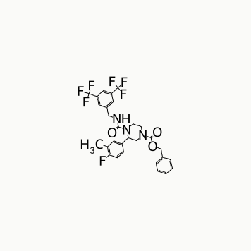 Cc1cc(C2CN(C(=O)OCc3ccccc3)CCN2C(=O)NCc2cc(C(F)(F)F)cc(C(F)(F)F)c2)ccc1F